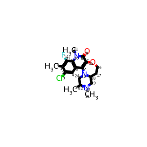 Cc1c(Cl)cc2c3c(c(=O)n(C)c2c1F)OCCC1CN(C)C(C)CN31